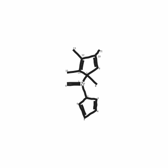 [CH2]=[Zr]([CH]1C=CC=C1)[C]1(C)C=C(C)C(C)=C1C